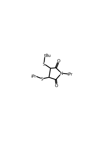 CC(C)SC1C(=O)N(C(C)C)C(=O)C1SC(C)(C)C